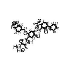 CS(=O)(=O)c1ccc(-c2ccccc2)c(Cl)c1COc1cc(OCc2ccc3nonc3c2)c(CNC(CO)C(=O)O)cc1Cl